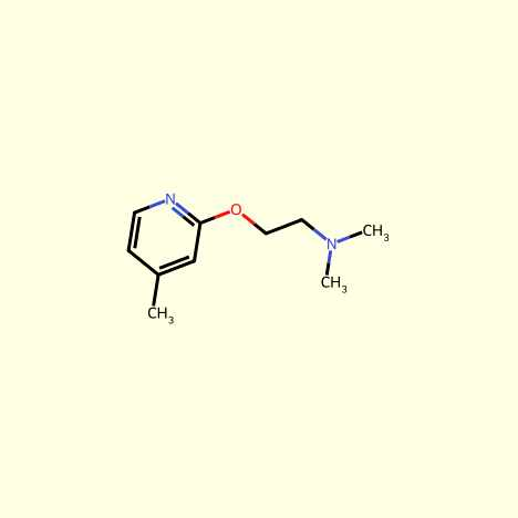 Cc1ccnc(OCCN(C)C)c1